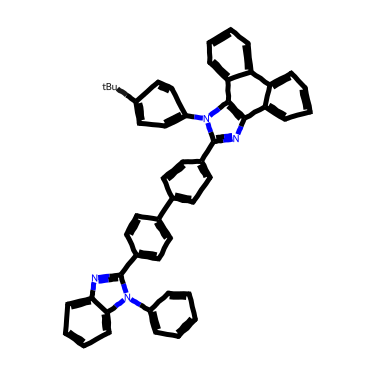 CC(C)(C)c1ccc(-n2c(-c3ccc(-c4ccc(-c5nc6ccccc6n5-c5ccccc5)cc4)cc3)nc3c4ccccc4c4ccccc4c32)cc1